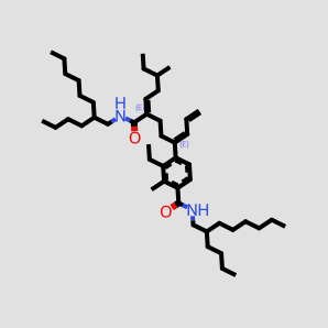 C=C/C=C(\CC/C(=C\CC(C)CC)C(=O)NCC(CCCC)CCCCCC)c1ccc(C(=O)NCC(CCCC)CCCCCC)c(C)c1CC